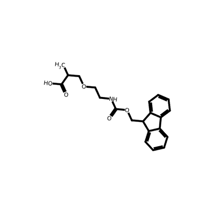 CC(COCCNC(=O)OCC1c2ccccc2-c2ccccc21)C(=O)O